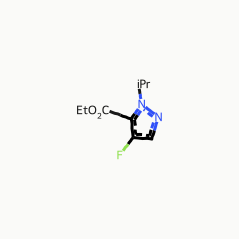 CCOC(=O)c1c(F)cnn1C(C)C